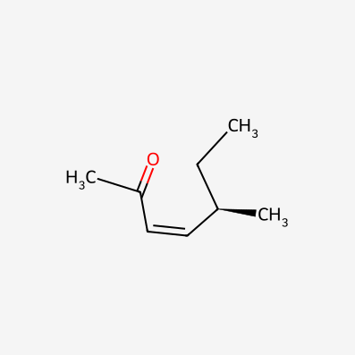 CC[C@@H](C)/C=C\C(C)=O